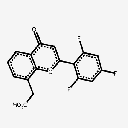 O=C(O)Cc1cccc2c(=O)cc(-c3c(F)cc(F)cc3F)oc12